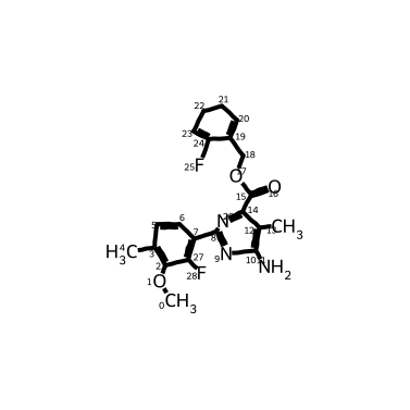 COc1c(C)ccc(-c2nc(N)c(C)c(C(=O)OCC3=CCCC=C3F)n2)c1F